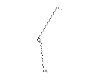 CCCCCCCCCCCCCCCCCCN1C=CN(CCCCCCCCCCCCCCC)C1